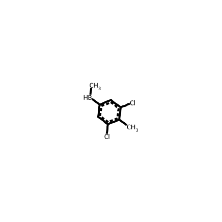 CBc1cc(Cl)c(C)c(Cl)c1